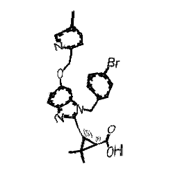 Cc1ccc(COc2ccc3nc([C@H]4[C@@H](C(=O)O)C4(C)C)n(Cc4ccc(Br)cc4)c3c2)nc1